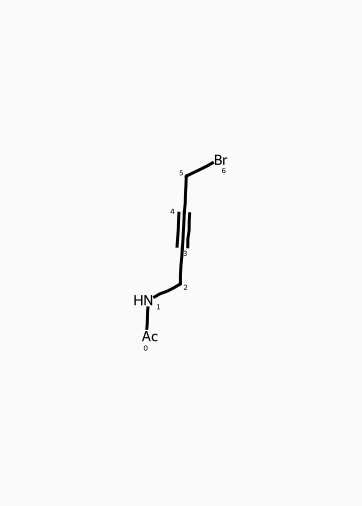 CC(=O)NCC#CCBr